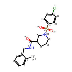 O=C(NCc1ccccc1C(F)(F)F)C1CCCN(S(=O)(=O)c2ccc(Cl)cc2)C1